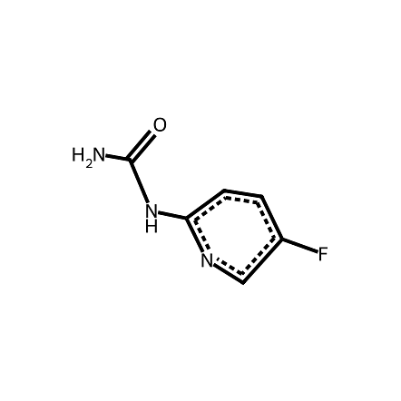 NC(=O)Nc1ccc(F)cn1